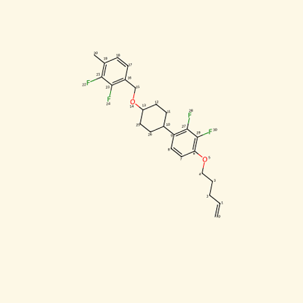 C=CCCCOc1ccc(C2CCC(OCc3ccc(C)c(F)c3F)CC2)c(F)c1F